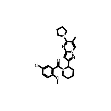 COc1ccc(Cl)cc1C(=O)N1CCCCC1c1cc2nc(N3CCCC3)c(C)cn2n1